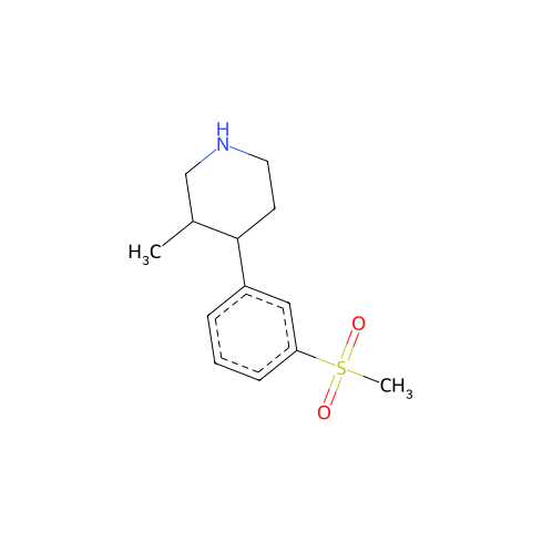 CC1CNCCC1c1cccc(S(C)(=O)=O)c1